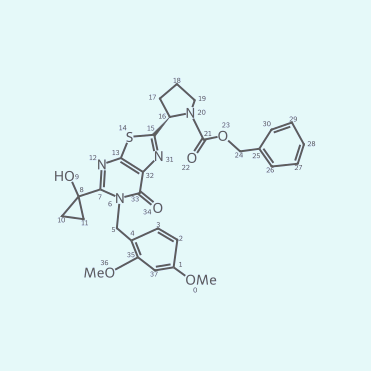 COc1ccc(Cn2c(C3(O)CC3)nc3sc([C@H]4CCCN4C(=O)OCc4ccccc4)nc3c2=O)c(OC)c1